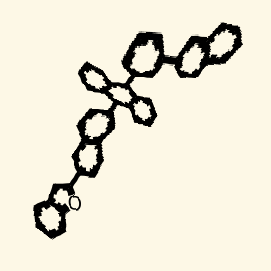 c1cc(-c2ccc3ccccc3c2)cc(-c2c3ccccc3c(-c3ccc4cc(-c5cc6ccccc6o5)ccc4c3)c3ccccc23)c1